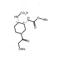 COCC(=O)N1CC[C@H](NC(=O)O)[C@H](NC(=O)OC(C)(C)C)C1